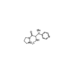 CC(C)(C)[C@H](c1ccncc1)C(NC(=O)O)C(=O)N1CCCC1